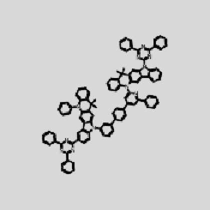 CC1(C)c2ccccc2N(c2ccccc2)c2cc3c4cc(-c5nc(-c6ccccc6)nc(-c6ccccc6)n5)ccc4n(-c4cccc(-c5ccc(-c6cc(-c7ccccc7)nc(N7c8ccccc8C(C)(C)c8cc9c(cc87)c7ccccc7n9-c7nc(-c8ccccc8)nc(-c8ccccc8)n7)c6)cc5)c4)c3cc21